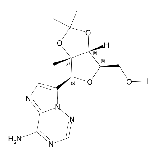 CC1(C)O[C@@H]2[C@@H](COI)O[C@@H](c3cnc4c(N)ncnn34)[C@]2(C)O1